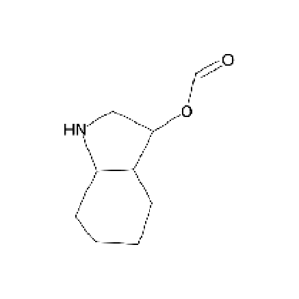 O=COC1CNC2CCCCC21